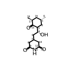 C[C@@H]1CC([C@H](O)CC2CC(=O)NC(=O)C2)C(=O)[C@@H](C)C1